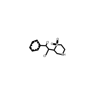 O=S1(=O)CCNCC1[C](Cl)C(Cl)c1ccccc1